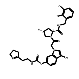 CC(=O)c1cn(CC(=O)N2C[C@H](F)C[C@H]2C(=O)NCc2cccc(Cl)c2F)c2cc(OC(=O)NCCC3=NCCC3)ccc12